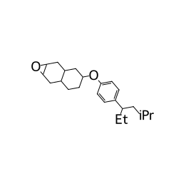 CCC(CC(C)C)c1ccc(OC2CCC3CC4OC4CC3C2)cc1